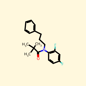 CC(C)(C)C(=O)N(CCCc1ccccc1)c1ccc(F)cc1F